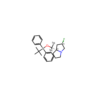 [2H]C([2H])(O[Si](c1ccccc1)(c1ccccc1)C(C)(C)C)[C@@]12CCCN1C[C@H](F)C2